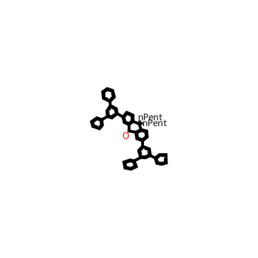 CCCCCC1(CCCCC)c2ccc(-c3cc(-c4ccccc4)cc(-c4ccccc4)c3)cc2C(=O)c2cc(-c3cc(-c4ccccc4)cc(-c4ccccc4)c3)ccc21